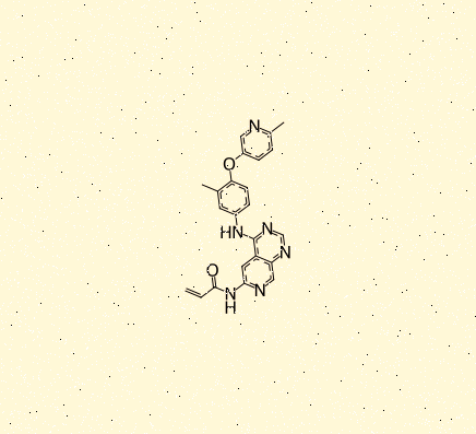 C=CC(=O)Nc1cc2c(Nc3ccc(Oc4ccc(C)nc4)c(C)c3)ncnc2cn1